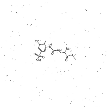 COC(=O)C(N)CNC(=O)Nc1cc(S(=O)(=O)O)cc(Cl)c1C